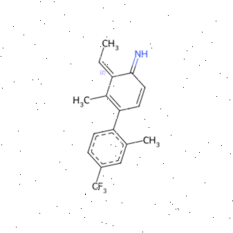 C/C=C1\C(=N)C=CC(c2ccc(C(F)(F)F)cc2C)=C1C